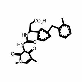 CC1=CN(C)C(=O)C(NC(=O)NC(CC(=O)O)c2cccc(Cc3ccccc3C)c2)C1=O